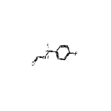 C[C@@H](NC=O)c1ccc(F)cc1